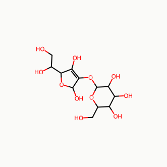 OCC(O)C1OC(O)C(OC2OC(CO)C(O)C(O)C2O)=C1O